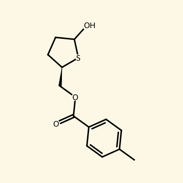 Cc1ccc(C(=O)OC[C@H]2CCC(O)S2)cc1